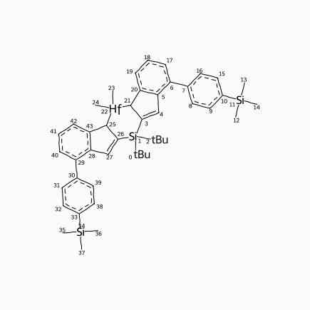 CC(C)(C)[Si]1(C(C)(C)C)C2=Cc3c(-c4ccc([Si](C)(C)C)cc4)cccc3[CH]2[Hf]([CH3])([CH3])[CH]2C1=Cc1c(-c3ccc([Si](C)(C)C)cc3)cccc12